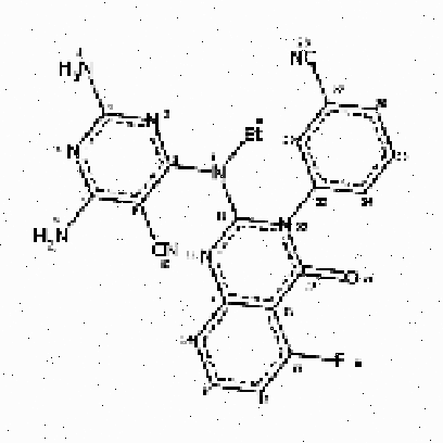 CCN(c1nc(N)nc(N)c1C#N)c1nc2cccc(F)c2c(=O)n1-c1cccc(C#N)c1